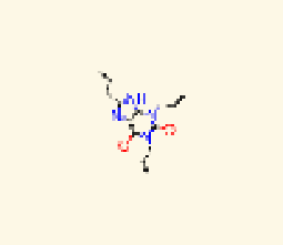 C=C[CH]c1nc2c(=O)n(CC=C)c(=O)n(CC=C)c2[nH]1